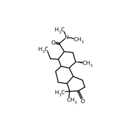 CCC1C(C(=O)N(C)C)C[C@@H](C)C2C1CCC1C2CCC(=O)C1(C)C